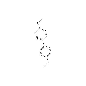 CCc1ccc(-c2ccc(OC)nn2)cc1